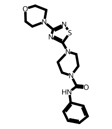 O=C(Nc1ccccc1)N1CCN(c2nc(N3CCOCC3)ns2)CC1